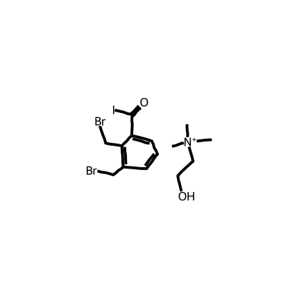 C[N+](C)(C)CCO.O=C(I)c1cccc(CBr)c1CBr